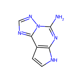 Nc1nc2[nH]ccc2c2ncnn12